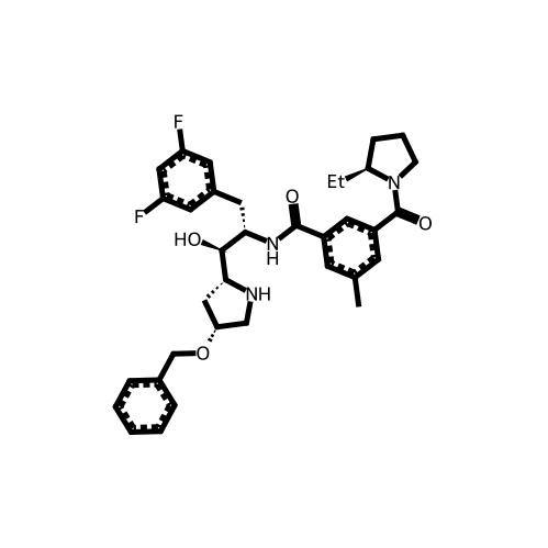 CC[C@H]1CCCN1C(=O)c1cc(C)cc(C(=O)N[C@@H](Cc2cc(F)cc(F)c2)[C@H](O)[C@H]2C[C@@H](OCc3ccccc3)CN2)c1